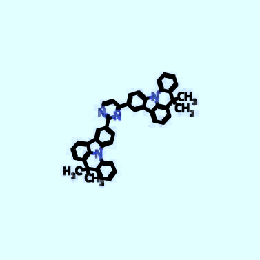 CC1(C)c2ccccc2-n2c3ccc(-c4ccnc(-c5ccc6c(c5)c5cccc7c5n6-c5ccccc5C7(C)C)n4)cc3c3cccc1c32